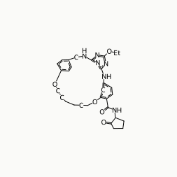 CCOc1nc2nc(n1)Nc1ccc(C(=O)NC3CCCC3=O)c(c1)OCCCCCCOc1ccc(cc1)CN2